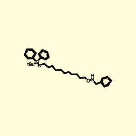 CC(C)(C)[Si](OCCCCCCCCCCCONCc1ccccc1)(c1ccccc1)c1ccccc1